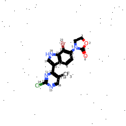 O=C1OCCN1c1ccc2c(-c3nc(Cl)ncc3C(F)(F)F)c[nH]c2c1Br